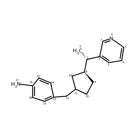 C[C@H](c1cccnc1)[C@H]1CCC(Cc2ccc(N)cc2)C1